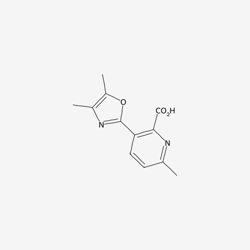 Cc1ccc(-c2nc(C)c(C)o2)c(C(=O)O)n1